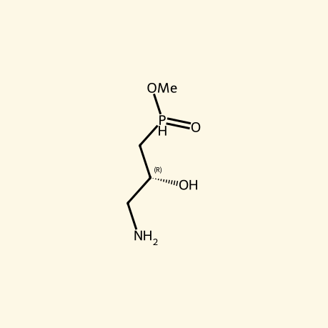 CO[PH](=O)C[C@H](O)CN